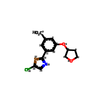 O=C(O)c1cc(OC2CCOC2)cc(-c2ncc(Cl)s2)c1